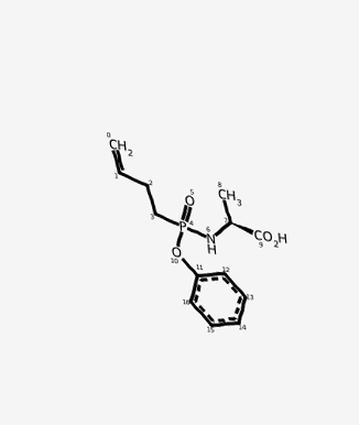 C=CCCP(=O)(N[C@@H](C)C(=O)O)Oc1ccccc1